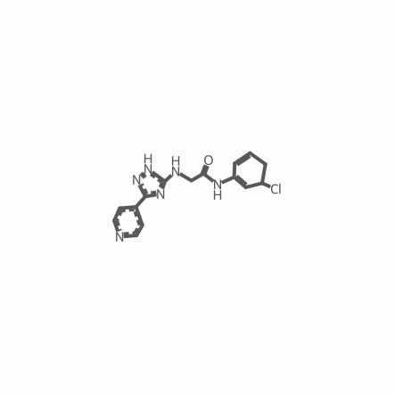 O=C(CNc1nc(-c2ccncc2)n[nH]1)NC1=CC(Cl)CC=C1